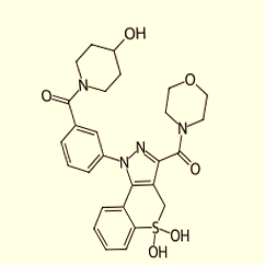 O=C(c1cccc(-n2nc(C(=O)N3CCOCC3)c3c2-c2ccccc2S(O)(O)C3)c1)N1CCC(O)CC1